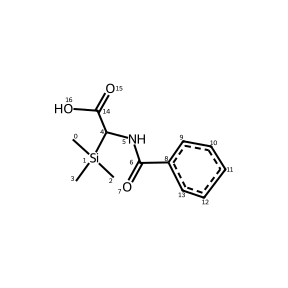 C[Si](C)(C)C(NC(=O)c1ccccc1)C(=O)O